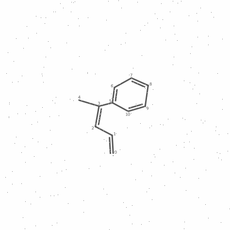 [CH]=C/C=C(/C)c1ccccc1